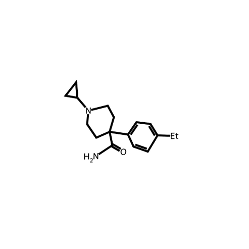 CCc1ccc(C2(C(N)=O)CCN(C3CC3)CC2)cc1